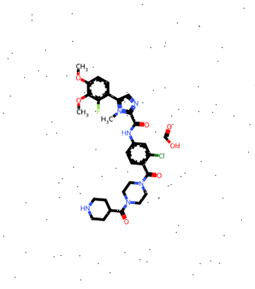 COc1ccc(-c2cnc(C(=O)Nc3ccc(C(=O)N4CCN(C(=O)C5CCNCC5)CC4)c(Cl)c3)n2C)c(F)c1OC.O=CO